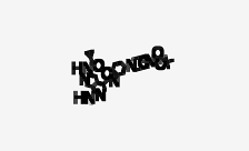 CNc1ncc(-c2nc3cc(N4CC5CN(C(=O)OC(C)(C)C)CC(C4)O5)ccc3o2)c2cc(NC(=O)C3CC3)ncc12